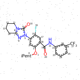 CCC[C@H](C)Oc1cc(-n2nc3n(c2=O)CCCC3)c(F)cc1C(=O)Nc1cccc(C(F)(F)F)c1